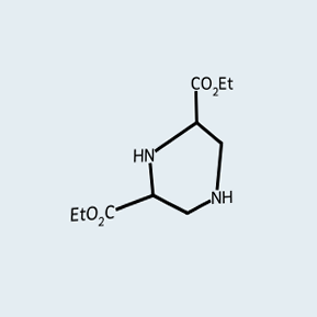 CCOC(=O)C1CNCC(C(=O)OCC)N1